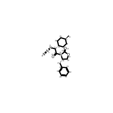 C[C@H]1CC[C@H](C(N=[N+]=[N-])C(=O)N2C(=O)OC[C@@H]2Cc2ccccc2)CC1